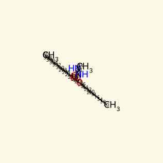 CCCCCCCCC=CCCCCCCCCOCC(COCCCCCCCCC=CCCCCCCCC)OC(=O)NCCNC